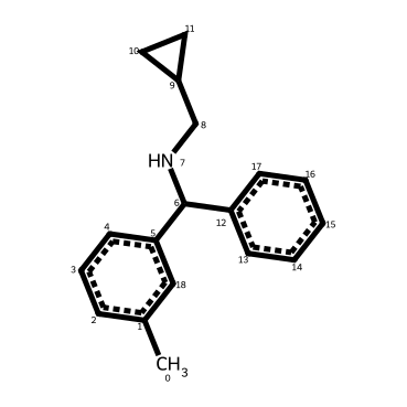 Cc1cccc(C(NCC2CC2)c2ccccc2)c1